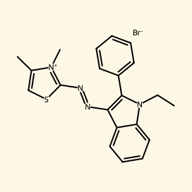 CCn1c(-c2ccccc2)c(N=Nc2scc(C)[n+]2C)c2ccccc21.[Br-]